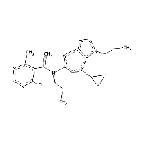 C=C(c1c(C)ncnc1Cl)N(CCC)c1cc(C2CC2)c2c(ccn2CCC)c1